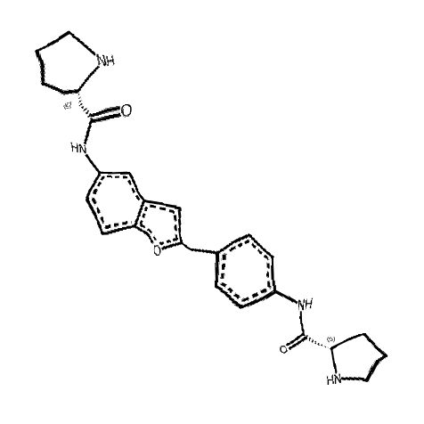 O=C(Nc1ccc(-c2cc3cc(NC(=O)[C@@H]4CCCN4)ccc3o2)cc1)[C@@H]1CCCN1